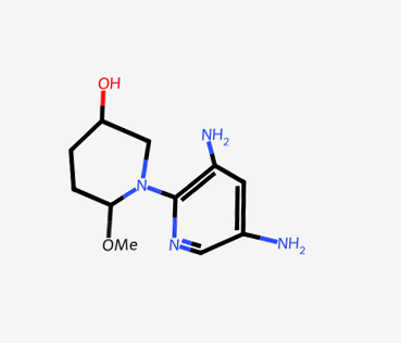 COC1CCC(O)CN1c1ncc(N)cc1N